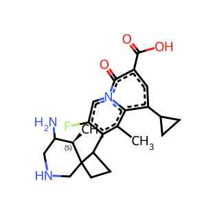 Cc1c(C2CCC23CNCC(N)[C@H]3C)c(F)cn2c(=O)c(C(=O)O)cc(C3CC3)c12